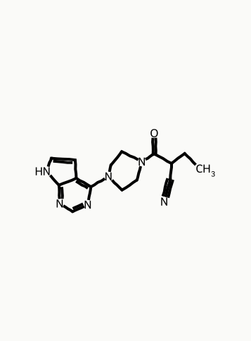 CCC(C#N)C(=O)N1CCN(c2ncnc3[nH]ccc23)CC1